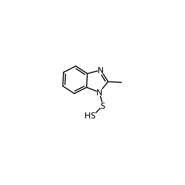 Cc1nc2ccccc2n1SS